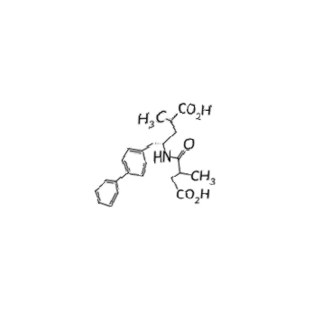 CC(CC(=O)O)C(=O)N[C@H](Cc1ccc(-c2ccccc2)cc1)C[C@@H](C)C(=O)O